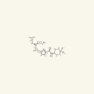 O=C(NC1CCC(F)(F)CC1)c1ccc(C2CC2N(CC2CC2)C(=O)O)s1